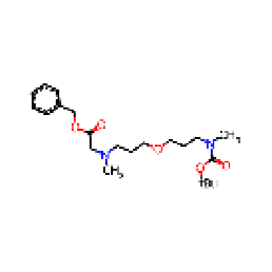 CN(CCCOCCCN(C)C(=O)OC(C)(C)C)CC(=O)OCc1ccccc1